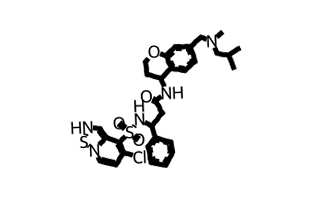 CC(C)CN(C)Cc1ccc2c(c1)OCCC2NC(=O)CC(NS(=O)(=O)C1=C(Cl)C=CN2SNC=C12)c1ccccc1